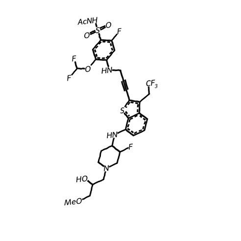 COCC(O)CN1CCC(Nc2cccc3c(CC(F)(F)F)c(C#CCNc4cc(F)c(S(=O)(=O)NC(C)=O)cc4OC(F)F)sc23)C(F)C1